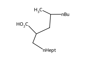 CCCCCCCCC(CC(C)CCCC)C(=O)O